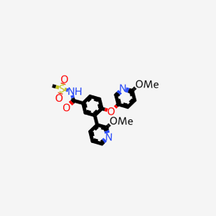 COc1ccc(Oc2ccc(C(=O)NS(C)(=O)=O)cc2-c2cccnc2OC)cn1